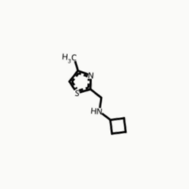 Cc1csc(CNC2CCC2)n1